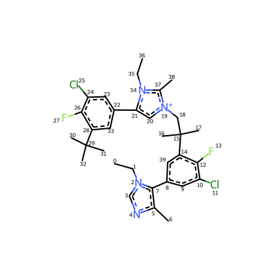 CCn1cnc(C)c1-c1cc(Cl)c(F)c(C(C)(C)C[n+]2cc(-c3cc(Cl)c(F)c(C(C)(C)C)c3)n(CC)c2C)c1